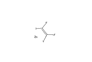 FC(F)=C(F)I.[Zn]